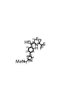 CNCc1ncc(-c2ccc([C@H](O)[C@@H](CF)NC(=O)C(F)F)cc2)s1